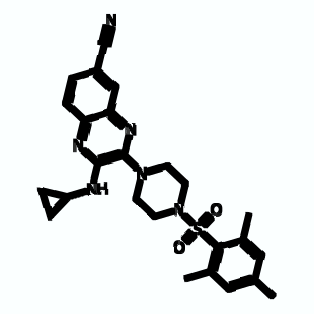 Cc1cc(C)c(S(=O)(=O)N2CCN(c3nc4cc(C#N)ccc4nc3NC3CC3)CC2)c(C)c1